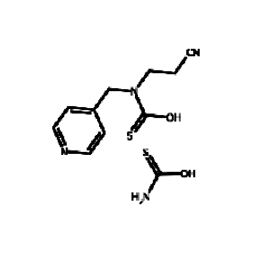 N#CCCN(Cc1ccncc1)C(O)=S.NC(O)=S